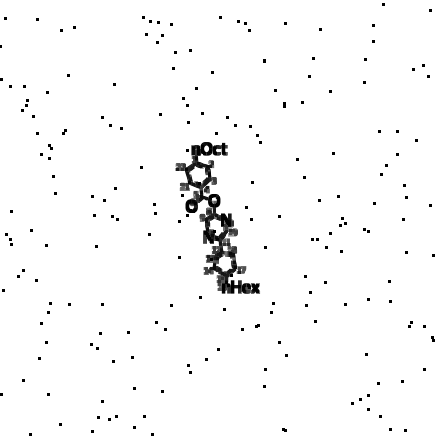 CCCCCCCCc1ccc(C(=O)Oc2cnc(-c3ccc(CCCCCC)cc3)cn2)cc1